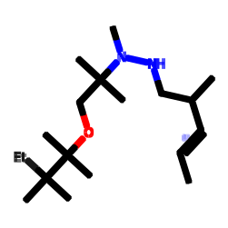 C/C=C/C(C)CNN(C)C(C)(C)COC(C)(C)C(C)(C)CC